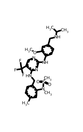 COc1cc(CNC(C)C)ccc1Nc1ncc(C(F)(F)F)c(NCc2ccc(C)cc2N(C)S(C)(=O)=O)n1